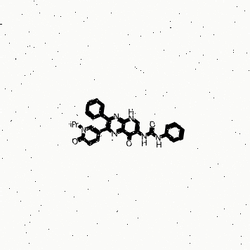 CC(C)n1cc(-c2nc3c(=O)c(NC(=O)Nc4ccccc4)c[nH]c3nc2-c2ccccc2)ccc1=O